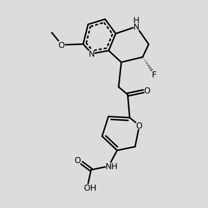 COc1ccc2c(n1)C(CC(=O)C1=CC=C(NC(=O)O)CO1)[C@@H](F)CN2